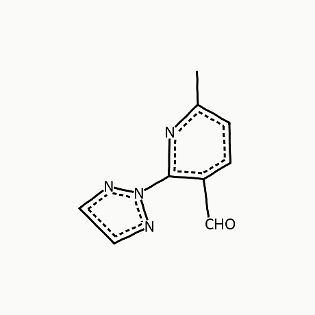 Cc1ccc(C=O)c(-n2nccn2)n1